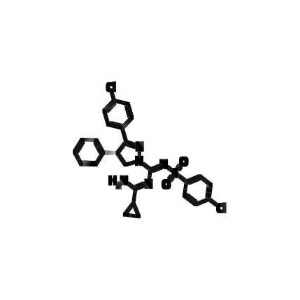 N/C(=N\C(=N/S(=O)(=O)c1ccc(Cl)cc1)N1C[C@H](c2ccccc2)C(c2ccc(Cl)cc2)=N1)C1CC1